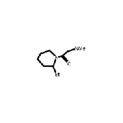 CCC1CCCCN1C(=O)CNC